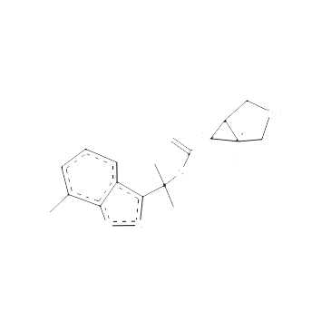 Cc1cccc2c(C(C)(C)NC(=O)[C@@H]3C4CNC[C@H]43)noc12